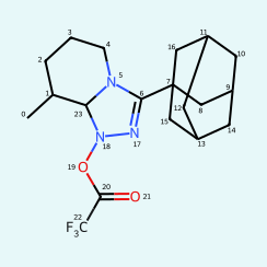 CC1CCCN2C(C34CC5CC(CC(C5)C3)C4)=NN(OC(=O)C(F)(F)F)C12